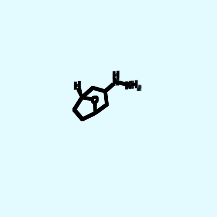 NNC1CC2CC[C@H](C1)O2